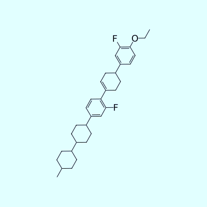 CCOc1ccc(C2CC=C(c3ccc(C4CCC(C5CCC(C)CC5)CC4)cc3F)CC2)cc1F